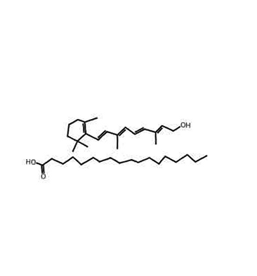 CC1=C(/C=C/C(C)=C/C=C/C(C)=C/CO)C(C)(C)CCC1.CCCCCCCCCCCCCCCCCC(=O)O